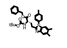 Cc1ccc(-n2c(CC[C@H](NC(=O)OC(C)(C)C)C(=O)OCc3ccccc3)nc3cc(C)c(C)cc32)cc1